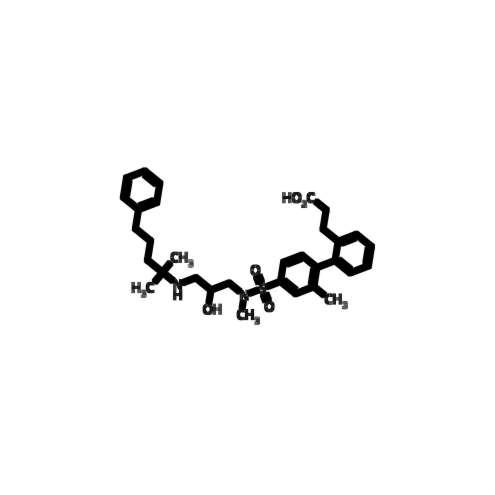 Cc1cc(S(=O)(=O)N(C)CC(O)CNC(C)(C)CCCc2ccccc2)ccc1-c1ccccc1CCC(=O)O